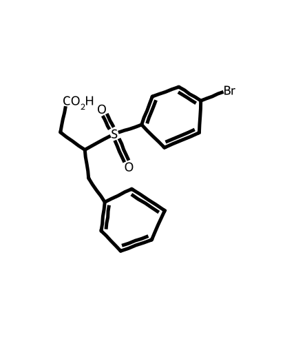 O=C(O)CC(Cc1ccccc1)S(=O)(=O)c1ccc(Br)cc1